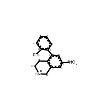 O=[N+]([O-])c1cc2c(c(-c3ccccc3Cl)c1)CCNC2